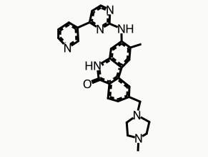 Cc1cc2c(cc1Nc1nccc(-c3cccnc3)n1)[nH]c(=O)c1ccc(CN3CCN(C)CC3)cc12